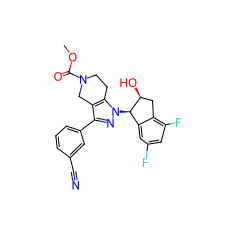 COC(=O)N1CCc2c(c(-c3cccc(C#N)c3)nn2[C@@H]2c3cc(F)cc(F)c3C[C@@H]2O)C1